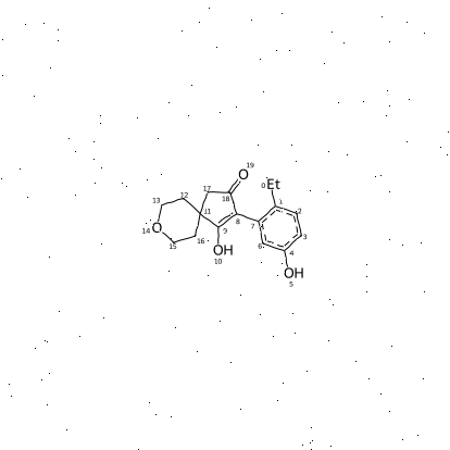 CCc1ccc(O)cc1C1=C(O)C2(CCOCC2)CC1=O